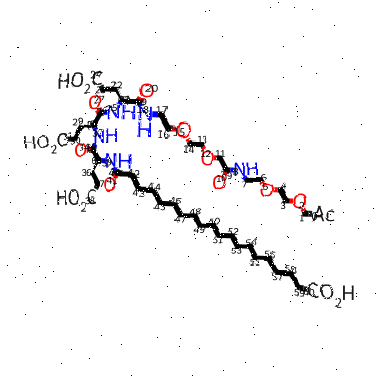 CC(=O)COCCOCCNC(=O)COCCOCCNC(=O)[C@H](CCC(=O)O)NC(=O)[C@H](CCC(=O)O)NC(=O)[C@H](CCC(=O)O)NC(=O)CCCCCCCCCCCCCCCCCCC(=O)O